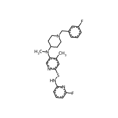 Cc1cc(SNc2cccc(F)n2)ncc1N(C)C1CCN(Cc2cccc(F)c2)CC1